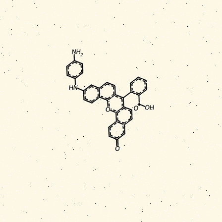 Nc1ccc(Nc2ccc3c(ccc4c(-c5ccccc5C(=O)O)c5ccc6cc(=O)ccc6c5oc43)c2)cc1